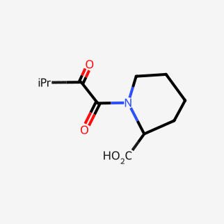 CC(C)C(=O)C(=O)N1CCCCC1C(=O)O